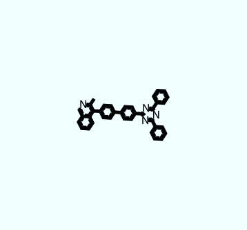 Cc1ncc2ccccc2c1-c1ccc(-c2ccc(-c3nc(-c4ccccc4)nc(-c4ccccc4)n3)cc2)cc1